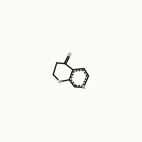 O=C1CCOc2cnccc21